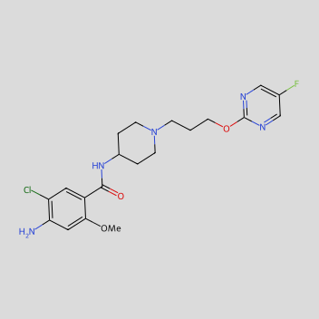 COc1cc(N)c(Cl)cc1C(=O)NC1CCN(CCCOc2ncc(F)cn2)CC1